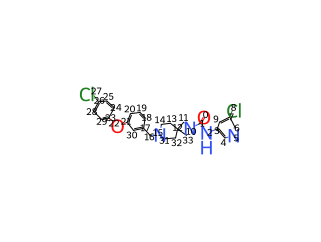 O=C(Nc1cncc(Cl)c1)N1CC2(CCN(Cc3cccc(Oc4ccc(Cl)cc4)c3)CC2)C1